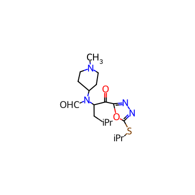 CC(C)CC(C(=O)c1nnc(SC(C)C)o1)N(C=O)C1CCN(C)CC1